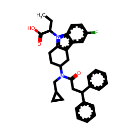 CCC(C(=O)O)n1c2c(c3cc(F)ccc31)CC(N(CC1CC1)C(=O)CC(c1ccccc1)c1ccccc1)CC2